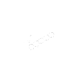 CCO[Si](OCC)(OCC)c1cccc2cc3cc4cc5ccccc5cc4cc3cc12